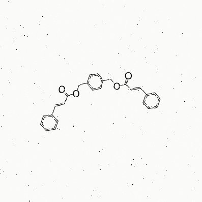 O=C(/C=C/c1ccccc1)OCc1ccc(COC(=O)/C=C/c2ccccc2)cc1